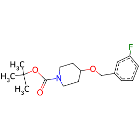 CC(C)(C)OC(=O)N1CCC(OCc2cccc(F)c2)CC1